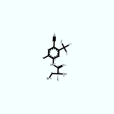 Cc1cc(C#N)c(C(F)(F)F)cc1NC(=O)[C@@](C)(O)CBr